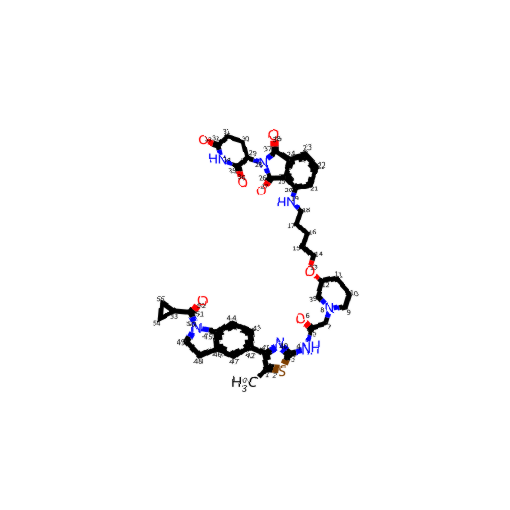 Cc1sc(NC(=O)CN2CCCC(OCCCCCNc3cccc4c3C(=O)N(C3CCC(=O)NC3=O)C4=O)C2)nc1-c1ccc2c(c1)CCN2C(=O)C1CC1